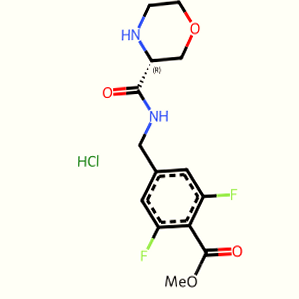 COC(=O)c1c(F)cc(CNC(=O)[C@H]2COCCN2)cc1F.Cl